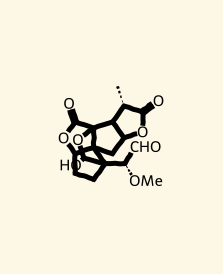 CO[C@@H](C=O)C12CCC3OC(=O)C4(OC1O)C1C(CC342)OC(=O)[C@H]1C